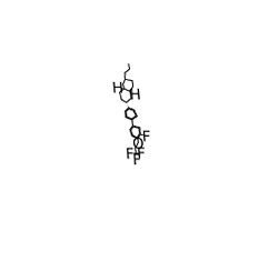 CCCC1CC[C@@H]2C[C@H](c3ccc(-c4ccc(OCC(F)(F)F)c(F)c4)cc3)CC[C@@H]2C1